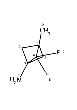 CC12CC(N)(C1)C2(F)F